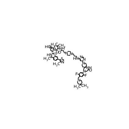 Cc1ncsc1-c1ccc([C@H](C)NC(=O)[C@@H]2C[C@@H](O)CN2C(=O)[C@@H](NC(=O)CCN2CCN(CCCNc3cc(N4CCC5(CC4)CN(c4cc(F)c(CN6CCC(C)(C)CC6)cc4F)CC(=O)N5)ncn3)CC2)C(C)(C)C)cc1